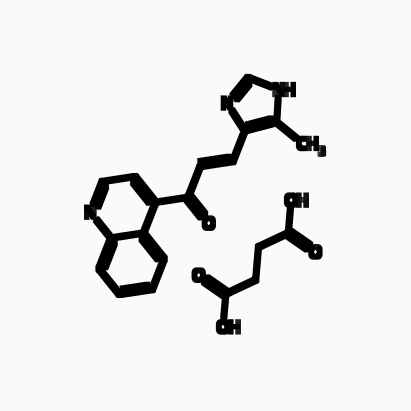 Cc1[nH]cnc1/C=C/C(=O)c1ccnc2ccccc12.O=C(O)CCC(=O)O